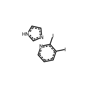 Ic1cccnc1I.c1c[nH]cn1